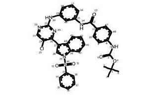 CC(C)(C)OC(=O)Nc1ccc(C(=O)Nc2cccc(Nc3ncc(Cl)c(-c4cn(S(=O)(=O)c5ccccc5)c5ccccc45)n3)c2)cc1